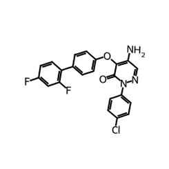 Nc1cnn(-c2ccc(Cl)cc2)c(=O)c1Oc1ccc(-c2ccc(F)cc2F)cc1